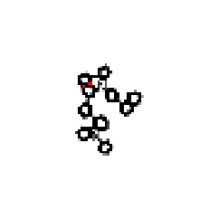 c1ccc(-c2ccccc2N(c2ccc(-c3cccc4ccccc34)cc2)c2cccc(-c3cccc(-c4cccc5c4c4ccccc4n5-c4ccccc4)c3)c2)cc1